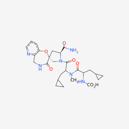 CN(C(=O)C(CC1CC1)NC(=O)O)C(CC1CC1)C(=O)N1C[C@@]2(C[C@H]1C(N)=O)Oc1cccnc1CNC2=O